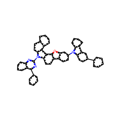 c1ccc(-c2ccc3c(c2)c2ccccc2n3-c2ccc3c(c2)oc2c3ccc3c2c2c4ccccc4ccc2n3-c2nc(-c3ccccc3)c3ccccc3n2)cc1